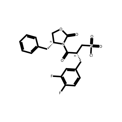 O=C1OC[C@@H](Cc2ccccc2)N1C(=O)[C@@H](Cc1ccc(F)c(F)c1)CS(=O)(=O)Cl